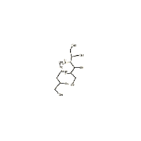 CC(C)=O.OCC(O)C(O)C(O)C(O)CO.OCC(O)CO